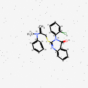 C=C(CSc1nc2ccccc2c(=O)n1-c1ccccc1Cl)N(C)c1ccccc1